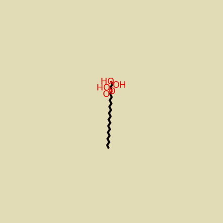 CCCCCCCCCCCCCCCCCC(=O)OC(O)C(O)O